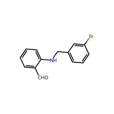 O=Cc1ccccc1NCc1cccc(Br)c1